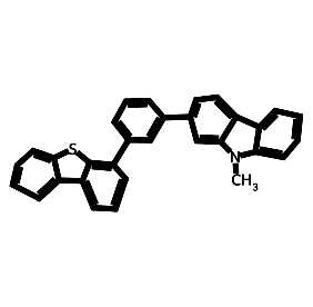 Cn1c2ccccc2c2ccc(-c3cccc(-c4cccc5c4sc4ccccc45)c3)cc21